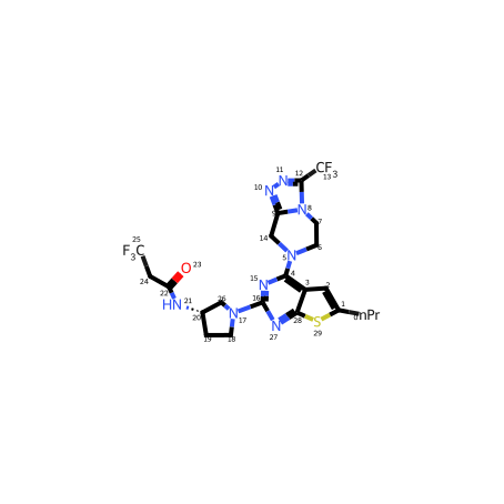 CCCc1cc2c(N3CCn4c(nnc4C(F)(F)F)C3)nc(N3CC[C@H](NC(=O)CC(F)(F)F)C3)nc2s1